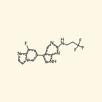 Fc1cc(-c2c[nH]c3nc(NCCC(F)(F)F)ncc23)cn2ccnc12